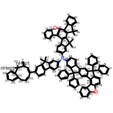 C=C1/C=C(c2ccc3c(c2)C(C)(C)c2cc(N(c4ccc5c(c4)C(C)(C)c4c6c(c7oc8ccccc8c7c4-5)-c4ccccc4C6(C)C)c4ccc5c(c4)C(c4ccccc4)(c4ccccc4)c4cc6c(cc4-5)C(c4ccccc4)(c4ccccc4)c4ccc5oc7ccccc7c5c4-6)ccc2-3)\C=C/Cc2ccccc2C1(CCCCCCC)CCCCCCC